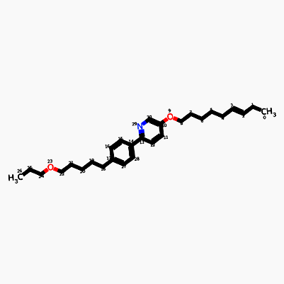 CCC=CCCCCCOc1ccc(-c2ccc(CCCCCOCCC)cc2)nc1